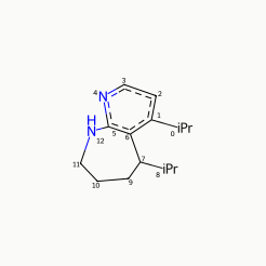 CC(C)c1ccnc2c1C(C(C)C)CCCN2